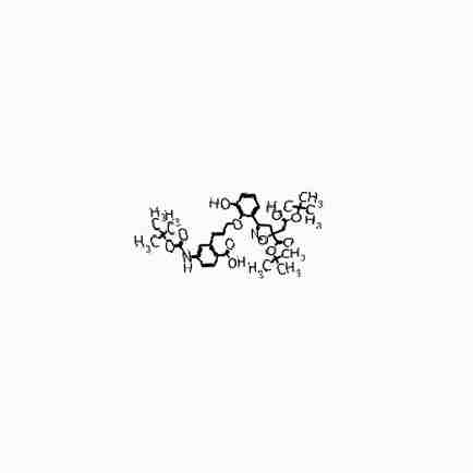 CC(C)(C)OC(=O)CC1(C(=O)OC(C)(C)C)CC(c2cccc(O)c2OCCCc2cc(NC(=O)OC(C)(C)C)ccc2C(=O)O)=NO1